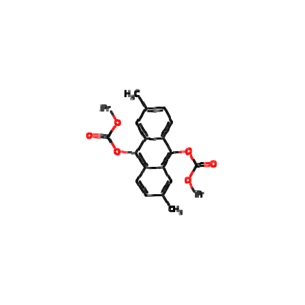 Cc1ccc2c(OC(=O)OC(C)C)c3cc(C)ccc3c(OC(=O)OC(C)C)c2c1